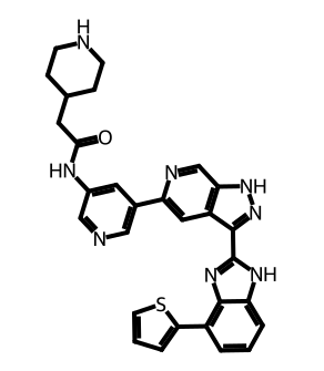 O=C(CC1CCNCC1)Nc1cncc(-c2cc3c(-c4nc5c(-c6cccs6)cccc5[nH]4)n[nH]c3cn2)c1